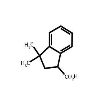 CC1(C)CC(C(=O)O)c2ccccc21